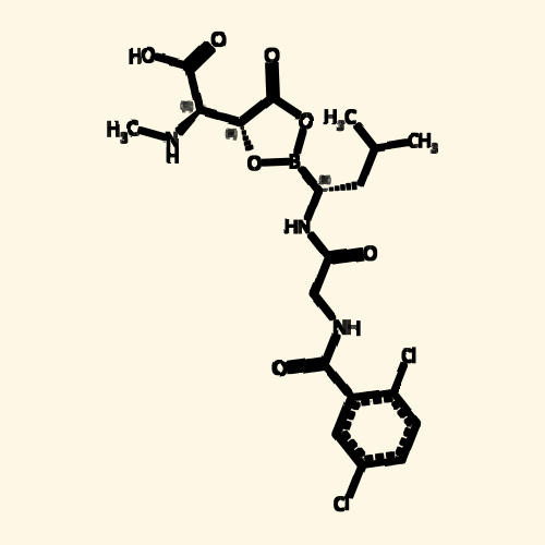 CN[C@@H](C(=O)O)[C@H]1OB([C@H](CC(C)C)NC(=O)CNC(=O)c2cc(Cl)ccc2Cl)OC1=O